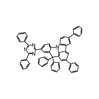 c1ccc(-c2ccc3c(c2)c2cc(-c4ccccc4)cc4c2n3-c2ccc(-c3nc(-c5ccccc5)nc(-c5ccccc5)n3)cc2C4(c2ccccc2)c2ccccc2)cc1